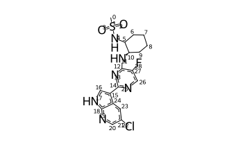 CS(=O)(=O)NC1CCCC[C@H]1Nc1nc(-c2c[nH]c3ncc(Cl)cc23)ncc1F